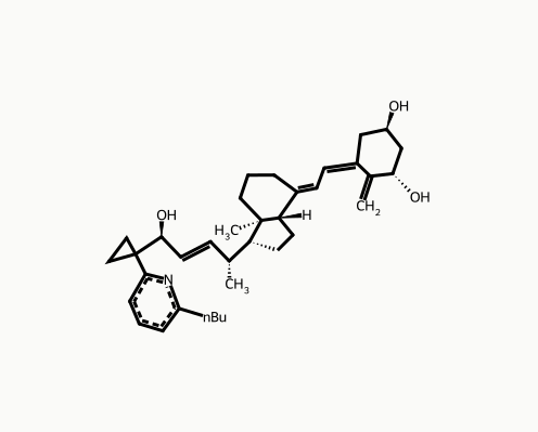 C=C1/C(=C\C=C2/CCC[C@]3(C)[C@@H]([C@H](C)/C=C/[C@H](O)C4(c5cccc(CCCC)n5)CC4)CC[C@@H]23)C[C@@H](O)C[C@@H]1O